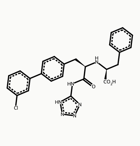 O=C(O)[C@H](Cc1ccccc1)N[C@H](Cc1ccc(-c2cccc(Cl)c2)cc1)C(=O)Nc1nnn[nH]1